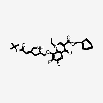 CCn1cc(C(=O)OCc2ccccc2)c(=O)c2cc(F)c(F)c(OCC3CC(=CC(=O)OC(C)(C)C)CN3)c21